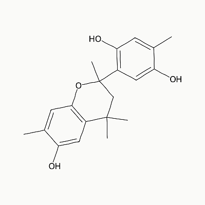 Cc1cc2c(cc1O)C(C)(C)CC(C)(c1cc(O)c(C)cc1O)O2